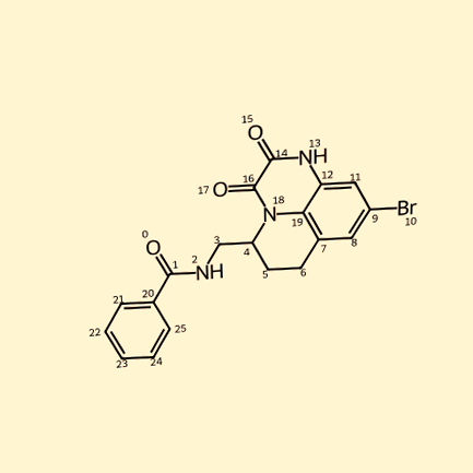 O=C(NCC1CCc2cc(Br)cc3[nH]c(=O)c(=O)n1c23)c1ccccc1